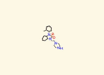 Cc1ccccc1N1c2ccccc2N(CCN2CCNCC2)S1(=O)=O